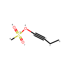 CCC#COS(C)(=O)=O